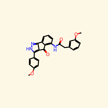 COc1ccc(-c2[nH]nc3c2C(=O)c2c(NC(=O)Cc4cccc(OC)c4)cccc2-3)cc1